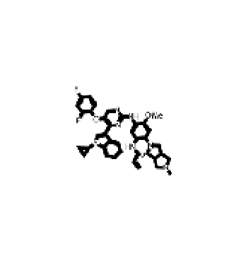 C=CC(=O)Nc1cc(Nc2ncc(Oc3ccc(F)cc3F)c(-c3cn(C4CC4)c4ccccc34)n2)c(OC)cc1N1CC2CN(C)CC2C1